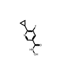 O=C(NO)c1cnc(C2CC2)c(F)c1